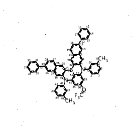 Cc1cccc(N2c3cc4cc(-c5ccccc5)ccc4cc3B3c4cc5ccc(-c6ccccc6)cc5cc4N(c4cccc(C)c4)c4cc(OC(F)(F)F)cc2c43)c1